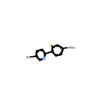 CCCCCCc1ccc(-c2ccc(CC)cn2)c(F)c1